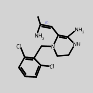 C/C(N)=C/C1=C(N)NCCN1Cc1c(Cl)cccc1Cl